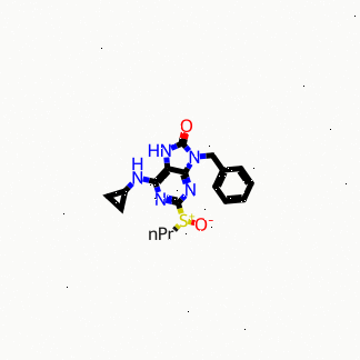 CCC[S+]([O-])c1nc(NC2CC2)c2[nH]c(=O)n(Cc3ccccc3)c2n1